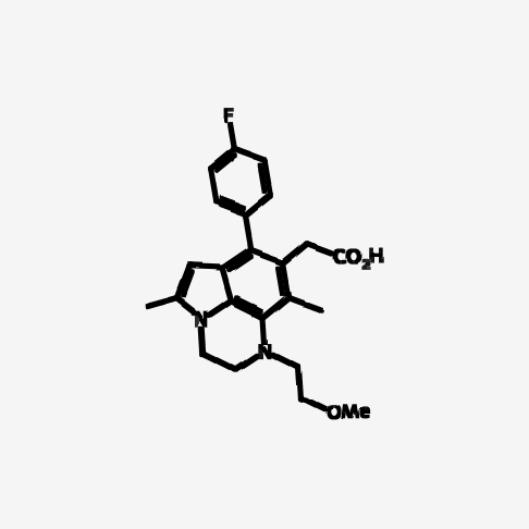 COCCN1CCn2c(C)cc3c(-c4ccc(F)cc4)c(CC(=O)O)c(C)c1c32